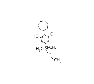 CCCC[Si](C)(C)c1cc(O)c(C2CCCCCC2)c(O)c1